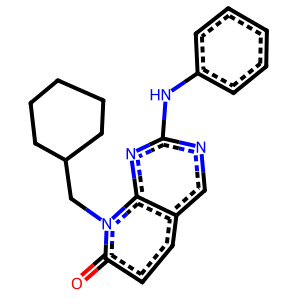 O=c1ccc2cnc(Nc3ccccc3)nc2n1CC1CCCCC1